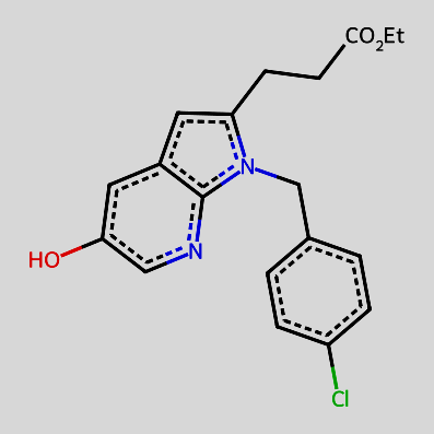 CCOC(=O)CCc1cc2cc(O)cnc2n1Cc1ccc(Cl)cc1